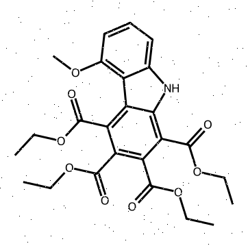 CCOC(=O)c1c(C(=O)OCC)c(C(=O)OCC)c2c([nH]c3cccc(OC)c32)c1C(=O)OCC